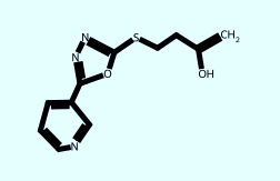 C=C(O)CCSc1nnc(-c2cccnc2)o1